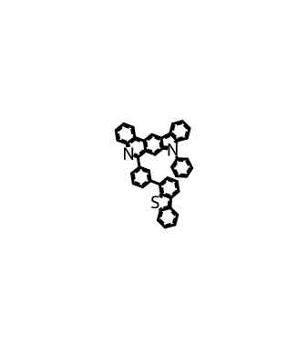 c1ccc(-n2c3ccccc3c3cc4c(cc32)c(-c2cccc(-c3cccc5c3sc3ccccc35)c2)nc2ccccc24)cc1